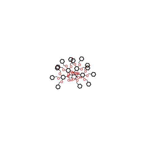 O=C(c1cc(OCc2ccccc2)c(OCc2ccccc2)c(OCc2ccccc2)c1)C(O)[C@H]1O[C@H](OCc2ccccc2)[C@@](O)(C(=O)c2cc(OCc3ccccc3)c(OCc3ccccc3)c(OCc3ccccc3)c2)[C@](O)(C(=O)c2cc(OCc3ccccc3)c(OCc3ccccc3)c(OCc3ccccc3)c2)[C@@]1(O)C(=O)c1cc(OCc2ccccc2)c(OCc2ccccc2)c(OCc2ccccc2)c1